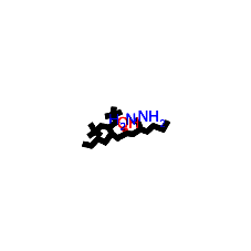 CCCCC(CC(O)CC(CCCC)C(CC(C)(C)C)CC(C)(C)C)C(N)N